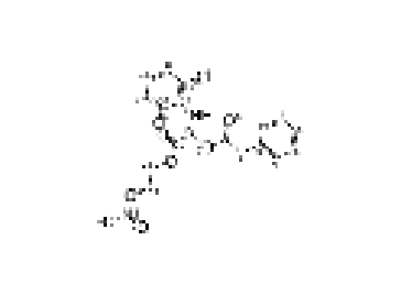 O=C(Cc1ccccc1)OC(Nc1c(Cl)cccc1Cl)C(=O)OCCO[N+](=O)[O-]